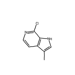 Cc1c[nH]c2c(Cl)nccc12